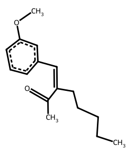 CCCCCC(=Cc1cccc(OC)c1)C(C)=O